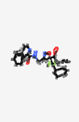 COC(=O)C1(C(F)(F)c2ccccc2)CC(CNC(=O)c2nccc3ccccc23)=NO1